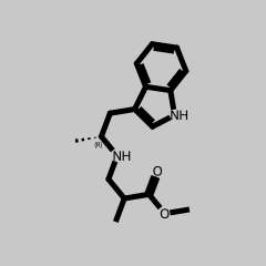 COC(=O)C(C)CN[C@H](C)Cc1c[nH]c2ccccc12